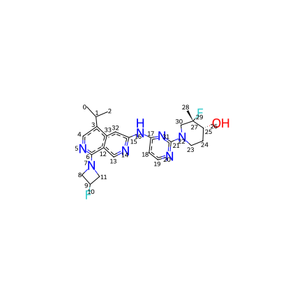 CC(C)c1cnc(N2CC(F)C2)c2cnc(Nc3ccnc(N4CC[C@@H](O)[C@@](C)(F)C4)n3)cc12